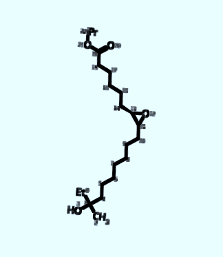 CCC(C)(O)CCCCCCCC1O[C@@H]1CCCCCC(=O)OC(C)C